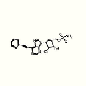 NS(=O)(=O)OC[C@H]1C[C@@H](n2cnc3c(C#Cc4ccccc4)ncnc32)[C@H](O)[C@@H]1O